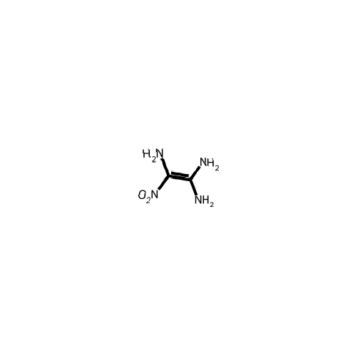 NC(N)=C(N)[N+](=O)[O-]